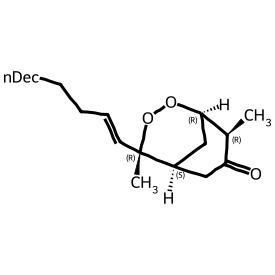 CCCCCCCCCCCCC=C[C@]1(C)OO[C@@H]2C[C@H]1CC(=O)[C@@H]2C